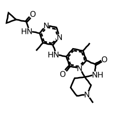 Cc1cc(Nc2ncnc(NC(=O)C3CC3)c2C)c(=O)n2c1C(=O)NC21CCCN(C)C1